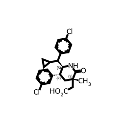 C[C@@]1(CC(=O)O)C[C@H](c2cccc(Cl)c2)[C@@H](C(c2ccc(Cl)cc2)C2CC2)NC1=O